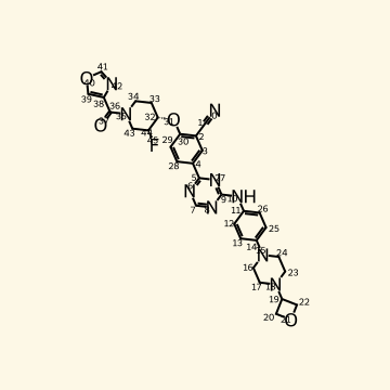 N#Cc1cc(-c2ncnc(Nc3ccc(N4CCN(C5COC5)CC4)cc3)n2)ccc1O[C@H]1CCN(C(=O)c2cocn2)C[C@@H]1F